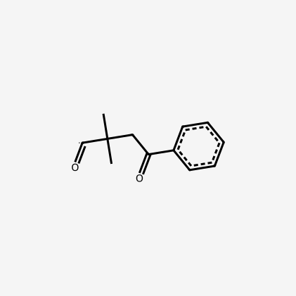 CC(C)([C]=O)CC(=O)c1ccccc1